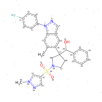 Cc1cc2c(cnn2-c2ccc(F)cc2)cc1C1(C(O)c2ccccc2)CCN(S(=O)(=O)c2cnn(C)c2)C1